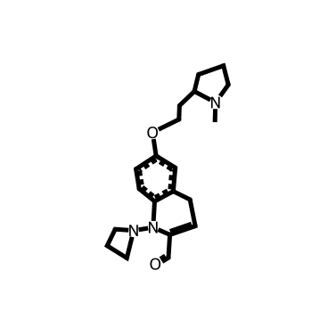 CN1CCCC1CCOc1ccc2c(c1)CC=C(C=O)N2N1CCC1